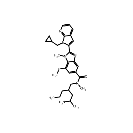 CCCC(CC(C)N)CN(C)C(=O)c1cc(OC)c2c(c1)nc(-c1cc3cccnc3n1CC1CC1)n2C